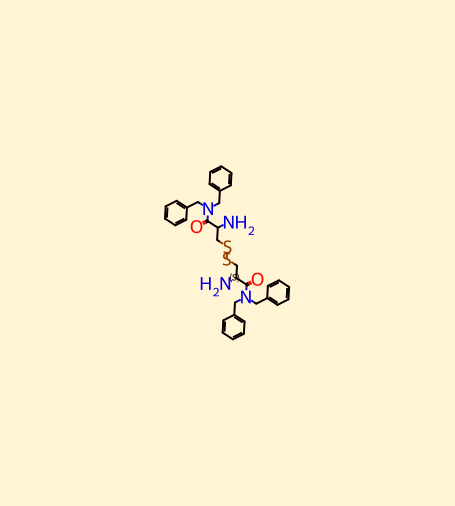 NC(CSSC[C@@H](N)C(=O)N(Cc1ccccc1)Cc1ccccc1)C(=O)N(Cc1ccccc1)Cc1ccccc1